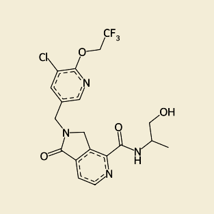 CC(CO)NC(=O)c1nccc2c1CN(Cc1cnc(OCC(F)(F)F)c(Cl)c1)C2=O